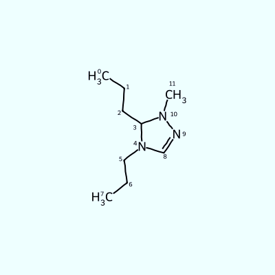 CCCC1N(CCC)C=NN1C